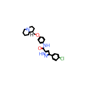 O=C(Nc1ccc(OC[C@@H]2CCCN3CCCC[C@H]23)cc1)c1cc(-c2ccc(Cl)cc2)n[nH]1